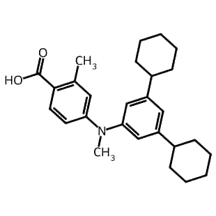 Cc1cc(N(C)c2cc(C3CCCCC3)cc(C3CCCCC3)c2)ccc1C(=O)O